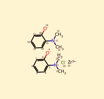 CN(C)c1ccccc1[O-].CN(C)c1ccccc1[O-].[Cl-].[Zr+3]